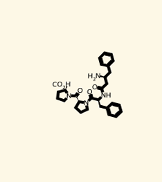 N[C@H](CC(=O)N[C@@H](Cc1ccccc1)C(=O)N1CCC[C@@H]1C(=O)N1CCC[C@@H]1C(=O)O)Cc1ccccc1